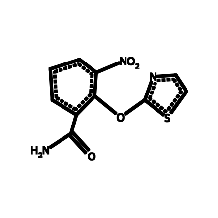 NC(=O)c1cccc([N+](=O)[O-])c1Oc1nccs1